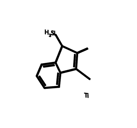 CC1=C(C)C([SiH3])c2ccccc21.[Ti]